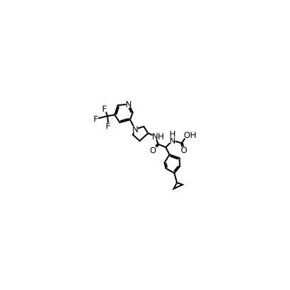 O=C(O)NC(C(=O)NC1CCN(c2cncc(C(F)(F)F)c2)C1)c1ccc(C2CC2)cc1